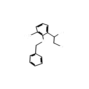 O=[N+]([O-])c1cccc(C(O)CBr)c1OCc1ccccc1